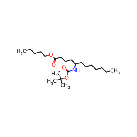 CCCCCCCC(CCCC(=O)OCCCCC)NC(=O)OC(C)(C)C